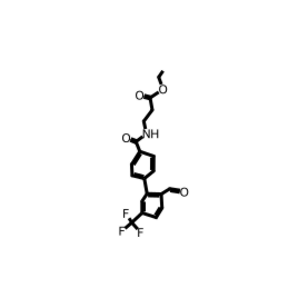 CCOC(=O)CCNC(=O)c1ccc(-c2cc(C(F)(F)F)ccc2C=O)cc1